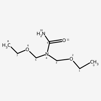 CCOCN(COCC)C(N)=O